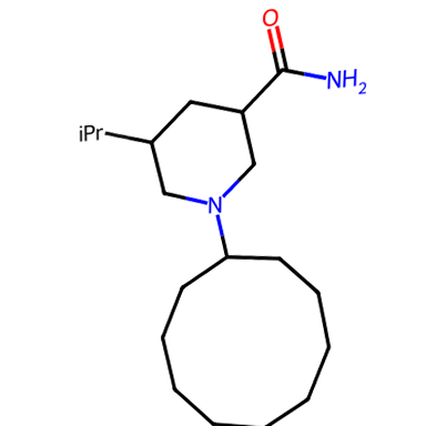 CC(C)C1CC(C(N)=O)CN(C2CCCCCCCCC2)C1